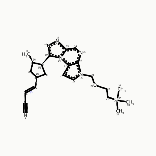 C[C@@H]1C[C@H](/C=C/C#N)C[C@@H]1c1nnc2cnc3c(ccn3COCC[Si](C)(C)C)n12